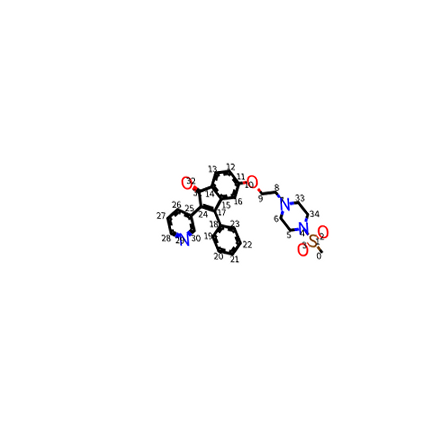 CS(=O)(=O)N1CCN(CCOc2ccc3c(c2)C(c2ccccc2)=C(c2cccnc2)C3=O)CC1